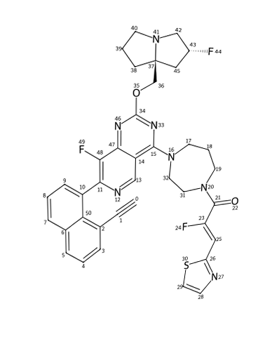 C#Cc1cccc2cccc(-c3ncc4c(N5CCCN(C(=O)/C(F)=C/c6nccs6)CC5)nc(OC[C@@]56CCCN5C[C@H](F)C6)nc4c3F)c12